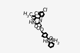 Cc1sc2c(c1C)C(c1ccc(Cl)cc1)=N[C@@H](CC(=O)OCc1ccc(C(=O)Nc3ccccc3N)cc1)C(=O)N2